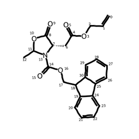 C=CCOC(=O)C[C@H]1C(=O)OC(C)N1C(=O)OCC1c2ccccc2-c2ccccc21